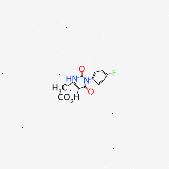 Cc1[nH]c(=O)n(-c2ccc(F)cc2)c(=O)c1C(=O)O